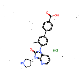 Cc1cc(-c2ccc(C(=O)O)cc2)ccc1-n1c(=O)n([C@@H]2CCNC2)c2ncccc21.Cl